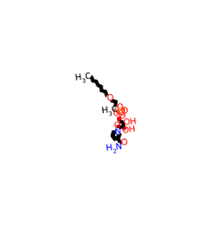 CCCCCCCCCOCCCOP(=O)(OC)OCC1OC([n+]2cccc(C(N)=O)c2)C(O)C1O